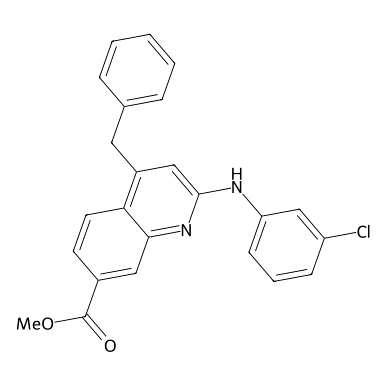 COC(=O)c1ccc2c(Cc3ccccc3)cc(Nc3cccc(Cl)c3)nc2c1